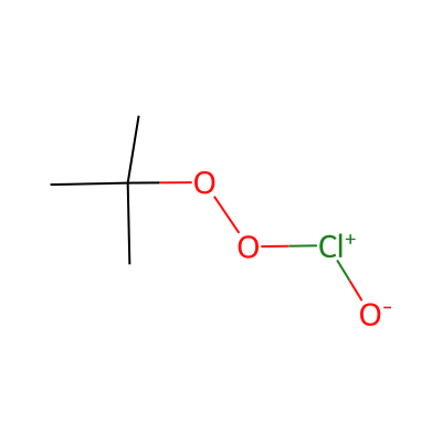 CC(C)(C)OO[Cl+][O-]